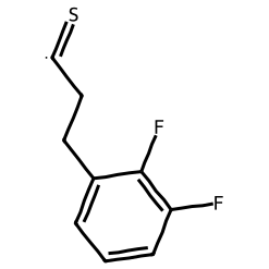 Fc1cccc(CC[C]=S)c1F